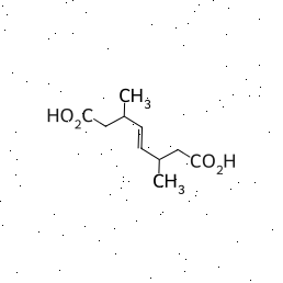 CC(/C=C/C(C)CC(=O)O)CC(=O)O